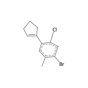 Cc1cc(C2=CCCC2)c(Cl)cc1Br